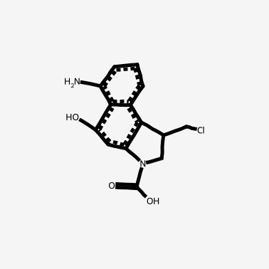 Nc1cccc2c3c(cc(O)c12)N(C(=O)O)CC3CCl